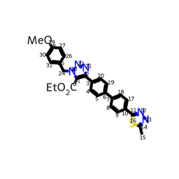 CCOC(=O)c1c(-c2ccc(-c3ccc(-c4nnc(C)s4)cc3)cc2)nnn1Cc1ccc(OC)cc1